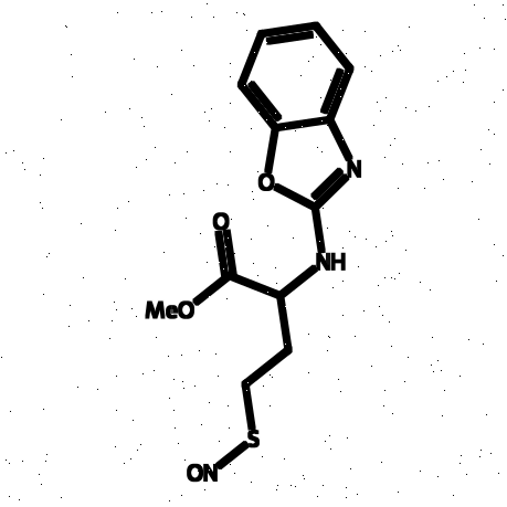 COC(=O)C(CCSN=O)Nc1nc2ccccc2o1